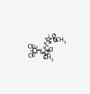 COC(=O)c1ccc(C=CCC2[C@H](Cl)C[C@@H](C)[C@@H]2C=Cc2cc(Cl)cc(Cl)c2)s1